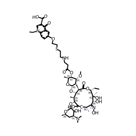 CC[C@H]1OC(=O)[C@H](C)[C@@H](O[C@H]2C[C@@H](OC)[C@@H](OC(=O)CCNCCSCCOc3ccc4c(c3)c(=O)c(C(=O)O)cn4CC)[C@H](C)O2)[C@H](C)[C@@H](O[C@@H]2O[C@H](C)C[C@H](N(C)C)[C@H]2O)[C@](C)(O)C[C@@H](C)/C(=N\O)[C@@H](O)[C@]1(C)O